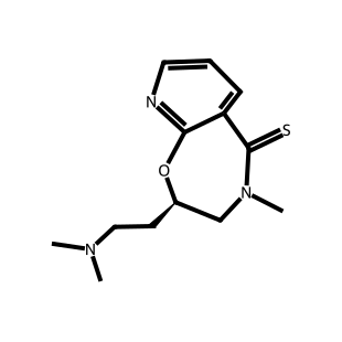 CN(C)CC[C@@H]1CN(C)C(=S)c2cccnc2O1